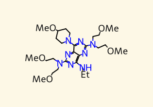 CCNc1nc(N(CCOC)CCOC)nc2c(N3CCC(OC)CC3)nc(N(CCOC)CCOC)nc12